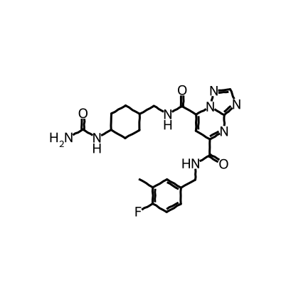 Cc1cc(CNC(=O)c2cc(C(=O)NCC3CCC(NC(N)=O)CC3)n3ncnc3n2)ccc1F